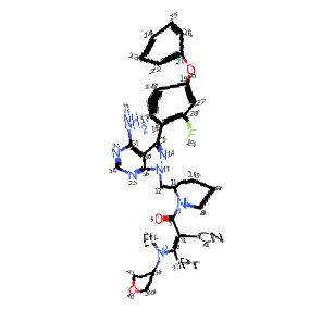 CCN(C(=C(C#N)C(=O)N1CCCC1Cn1nc(-c2ccc(Oc3ccccc3)cc2F)c2c(N)ncnc21)C(C)C)C1COC1